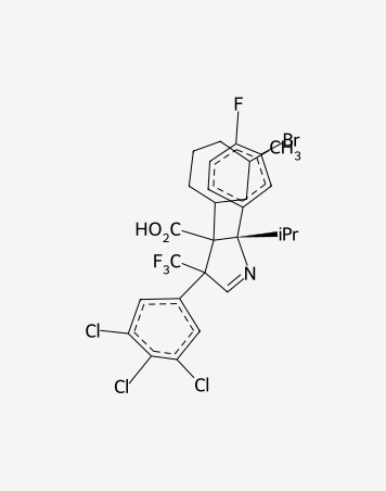 CC1CCCC(C2(C(=O)O)C(c3cc(Cl)c(Cl)c(Cl)c3)(C(F)(F)F)C=N[C@]2(c2ccc(F)c(Br)c2)C(C)C)C1